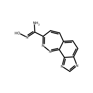 NC(=NO)c1ccc2ccc3ncnc3c2nn1